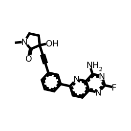 CN1CCC(O)(C#Cc2cccc(-c3ccc4nc(F)nc(N)c4n3)c2)C1=O